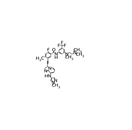 Cc1cc(F)c(C(=O)Nc2cc(N(C)CCN(C)C)cc(C(F)(F)F)c2)cc1C#CC1CN=C2C(Nc3cnn(C)c3)=CC=CN21